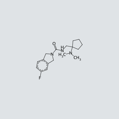 CN(C)C1(CNC(=O)N2Cc3ccc(F)cc3C2)CCCC1